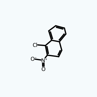 O=[N+]([O-])c1ccc2ccccc2c1Cl